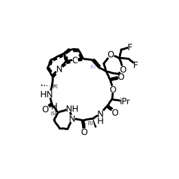 CC(C)C1OC(=O)C2(/C=C/c3ccc4ccc(nc4c3)[C@@H](C)NC(=O)[C@@H]3CCCN(N3)C(=O)[C@H](C)NC1=O)COC(CF)(CF)OC2